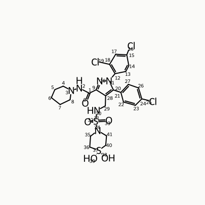 O=C(NN1CCCCC1)c1nn(-c2ccc(Cl)cc2Cl)c(-c2ccc(Cl)cc2)c1CNS(=O)(=O)N1CCS(O)(O)CC1